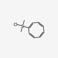 C[Si](C)(Cl)C1=CC=CC=CC=C1